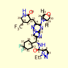 CCn1nccc1C(=O)N[C@H](c1cn2nc(CC3C[C@@H](C(F)(F)F)CNC3=O)c(N3C[C@@H]4C[C@H]3CO4)nc2n1)C1CCC(F)(F)CC1